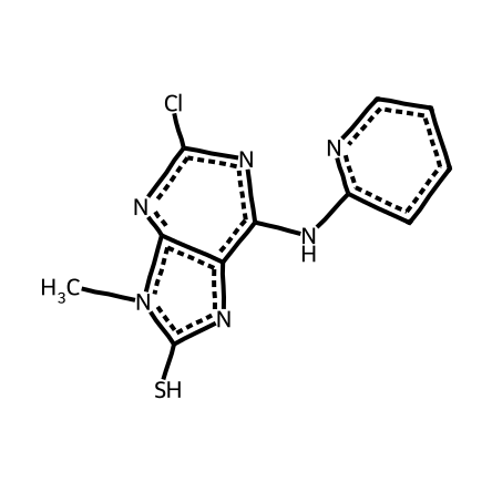 Cn1c(S)nc2c(Nc3ccccn3)nc(Cl)nc21